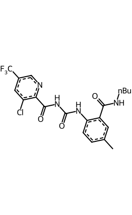 CCCCNC(=O)c1cc(C)ccc1NC(=O)NC(=O)c1ncc(C(F)(F)F)cc1Cl